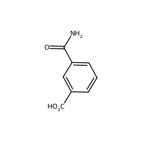 NC(=O)c1cccc(C(=O)O)c1